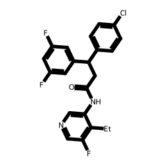 CCc1c(F)cncc1NC(=O)CC(c1ccc(Cl)cc1)c1cc(F)cc(F)c1